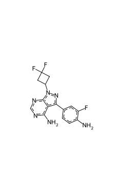 Nc1ccc(-c2nn(C3CC(F)(F)C3)c3ncnc(N)c23)cc1F